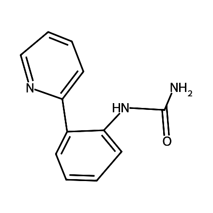 NC(=O)Nc1ccccc1-c1ccccn1